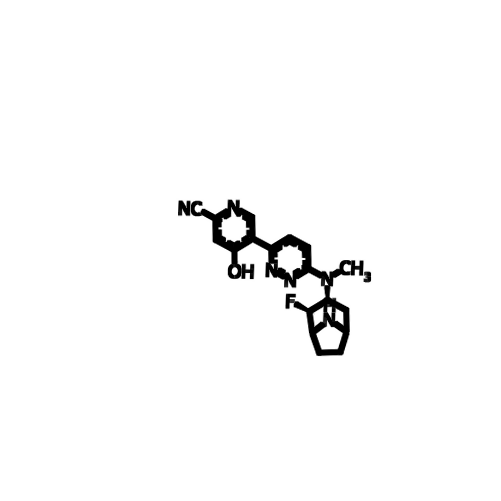 CN(c1ccc(-c2cnc(C#N)cc2O)nn1)[C@H]1CC2CCC(N2)[C@H]1F